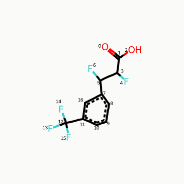 O=C(O)C(F)C(F)c1cccc(C(F)(F)F)c1